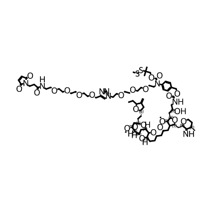 C=C1C[C@H](CC[C@]23C[C@@H](OC)[C@H](O2)[C@H]2C[C@@H](O3)C3OC(CC(=O)CC4[C@H](C[C@H]5OCC[C@@H](C)C5=N)O[C@H](C[C@H](O)CNC(=O)OCc5ccc(N(CCOCCOCCOCCn6cc(COCCOCCOCCOCCNC(=O)CCN7C(=O)C=CC7=O)nn6)C(=O)OCC(C)(C)SSC)cc5)[C@@H]4OC)CC[C@@H]3O2)OC1CC